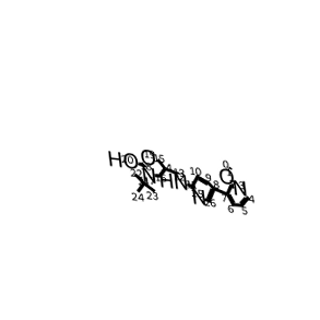 COc1ncccc1-c1ccc(NCC(C)CN(C(=O)O)C(C)(C)C)nc1